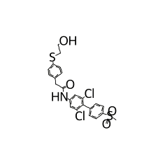 CS(=O)(=O)c1ccc(-c2c(Cl)cc(NC(=O)Cc3ccc(SCCO)cc3)cc2Cl)cc1